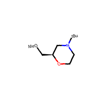 COC[C@H]1CN(C(C)(C)C)CCO1